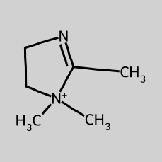 CC1=NCC[N+]1(C)C